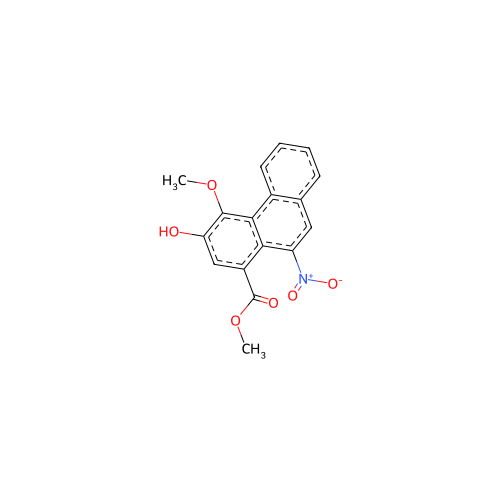 COC(=O)c1cc(O)c(OC)c2c1c([N+](=O)[O-])cc1ccccc12